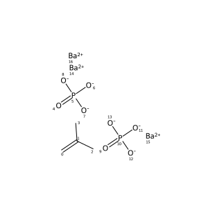 C=C(C)C.O=P([O-])([O-])[O-].O=P([O-])([O-])[O-].[Ba+2].[Ba+2].[Ba+2]